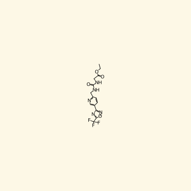 CCOC(=O)CNC(=O)NCc1ccc(-c2noc(C(F)(F)F)n2)cn1